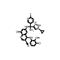 BC(Nc1cc(Cl)c2ncc(C#N)c(Nc3cccc(Cl)c3OC)c2c1)(C1=CN(C2CC2)NN1)c1ccc(F)nc1